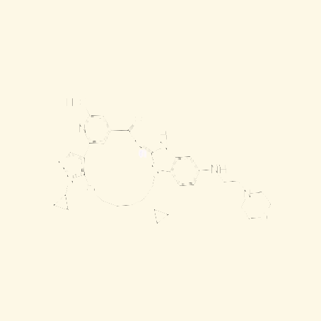 Cc1cc2cc(n1)-c1cnn(C3CC3)c1OCCC[C@@H](C1CC1)CN1/C(=N/C2=O)Nc2cc(NCCN3CCOCC3)ccc21